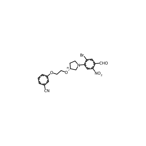 N#Cc1cccc(OCCO[C@@H]2CCN(c3cc([N+](=O)[O-])c(C=O)cc3Br)C2)c1